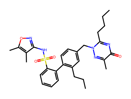 CCCCc1nc(=O)c(C)nn1Cc1ccc(-c2ccccc2S(=O)(=O)Nc2noc(C)c2C)c(CCC)c1